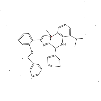 CC(C)c1cccc(C(C)C)c1NC(c1ccccc1)c1nc(-c2ccccc2OCc2ccccc2)cs1